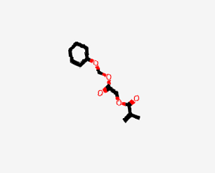 C=C(C)C(=O)OCC(=O)OCOC1CCCCC1